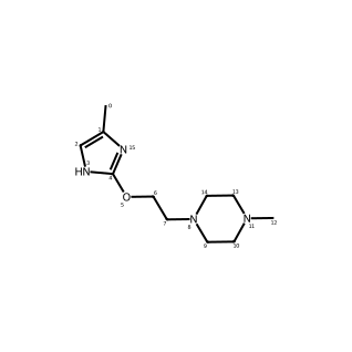 Cc1c[nH]c(OCCN2CCN(C)CC2)n1